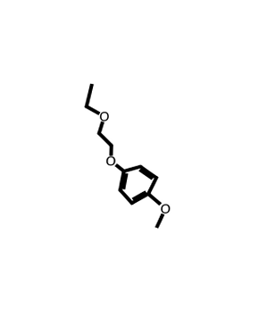 CCOCCOc1ccc(OC)cc1